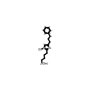 CCCCCCCCCCCCCCc1nc(CCCc2ccccc2)cn1CC